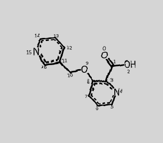 O=C(O)c1ncccc1OCc1cccnc1